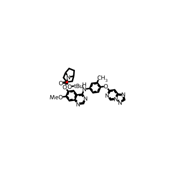 COc1cc2ncnc(Nc3ccc(Oc4cc5ncnn5cn4)c(C)c3)c2cc1OC1CC2CCC(C1)N2C(=O)OC(C)(C)C